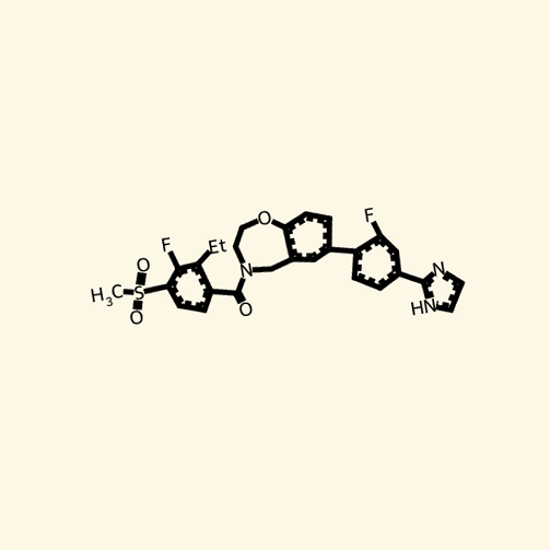 CCc1c(C(=O)N2CCOc3ccc(-c4ccc(-c5ncc[nH]5)cc4F)cc3C2)ccc(S(C)(=O)=O)c1F